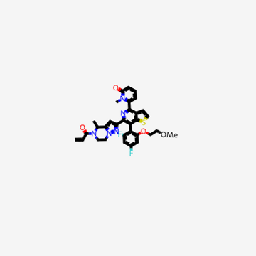 C=CC(=O)N1CCn2nc(-c3nc(-c4cccc(=O)n4C)c4ccsc4c3-c3c(F)cc(F)cc3OCCOC)cc2C1C